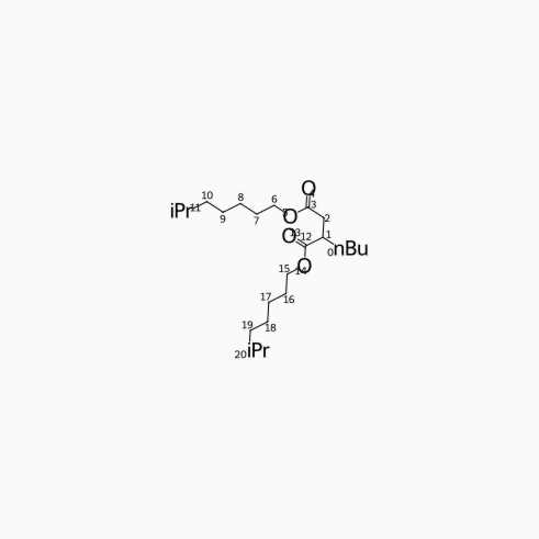 CCCCC(CC(=O)OCCCCCC(C)C)C(=O)OCCCCCC(C)C